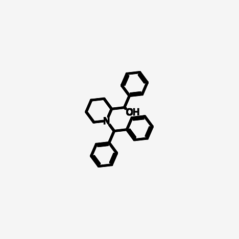 OC(c1ccccc1)C1CCCCN1C(c1ccccc1)c1ccccc1